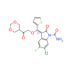 NC(=O)N1C(=O)/C(=C(/OCC(=O)C2COCOC2)c2cccs2)c2cc(F)c(Cl)cc21